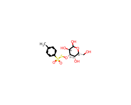 Cc1ccc(S(=O)(=O)SO[C@H]2[C@@H](O)[C@@H](CO)OC(O)[C@@H]2O)cc1